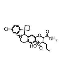 CCCC(C(Oc1ccc2c(c1)C(C1(c3ccc(Cl)cc3)CCC1)N(C)CC2)C(N)=O)S(=O)(=O)O